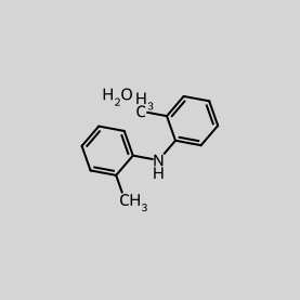 Cc1ccccc1Nc1ccccc1C.O